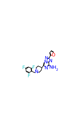 Nc1nc(C2CCN(Cc3c(F)cc(F)cc3F)CC2)cn2nc(-c3ccco3)nc12